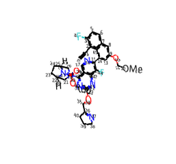 C#Cc1c(F)ccc2cc(OCOC)cc(-c3ncc4c(N5C[C@@H]6CC[C@@H](C5)N6C(=O)OC(C)(C)C)nc(OCC5=NCCC5)nc4c3F)c12